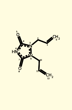 C=CCn1c(=O)[nH]c(=O)n1CC=C